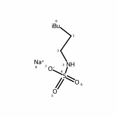 CCC(C)CCNS(=O)(=O)[O-].[Na+]